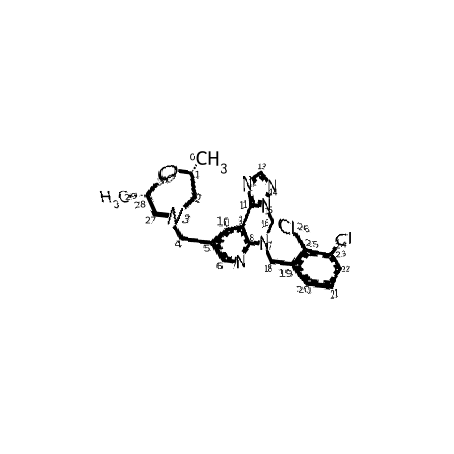 C[C@@H]1CN(Cc2cnc3c(c2)-c2ncnn2CN3Cc2cccc(Cl)c2Cl)C[C@H](C)O1